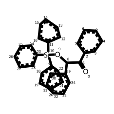 O=C(c1ccccc1)C(O[Si](c1ccccc1)(c1ccccc1)c1ccccc1)c1ccccc1